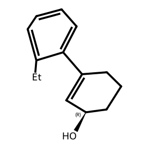 CCc1ccccc1C1=C[C@H](O)CCC1